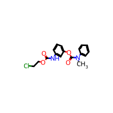 CN(C(=O)Oc1cccc(NC(=O)OCCCl)c1)c1ccccc1